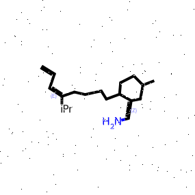 C=C/C=C(\CCCCC1CCC(C)C/C1=C/N)C(C)C